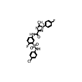 Cc1nc(C(=O)Nc2ccc(F)c(S(=O)(=O)Nc3ccc(Cl)cc3)c2)nn1-c1ccc(F)cc1